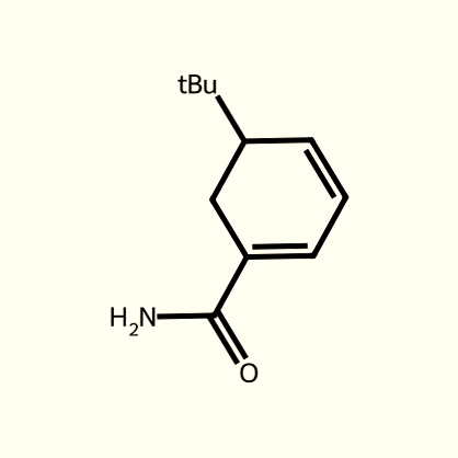 CC(C)(C)C1C=CC=C(C(N)=O)C1